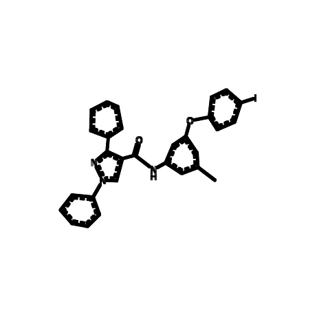 Cc1cc(NC(=O)c2cn(-c3ccccc3)nc2-c2ccccc2)cc(Oc2ccc(I)cc2)c1